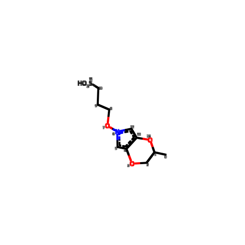 CC1COc2cn(OCCCS(=O)(=O)O)cc2O1